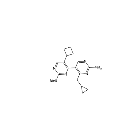 CNc1ncc(C2CCC2)c(-c2cnc(N)nc2CC2CC2)n1